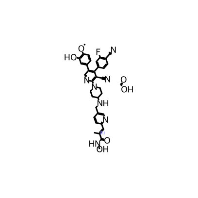 COc1ccc(-c2cnc(N3CCC(NCc4ccc(/C=C(\C)C(=O)NO)nc4)CC3)c(C#N)c2-c2ccc(C#N)c(F)c2)cc1O.O=CO